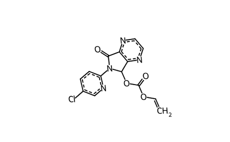 C=COC(=O)OC1c2nccnc2C(=O)N1c1ccc(Cl)cn1